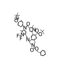 Cc1c(C(=O)N(c2ccc(O[Si](C)(C)C(C)(C)C)cc2)c2cc(C#N)n(C(F)F)c2C)cc(-c2cc3c(cc2C(=O)OC(C)(C)C)CN(C(=O)OCc2ccccc2)CC3)n1C